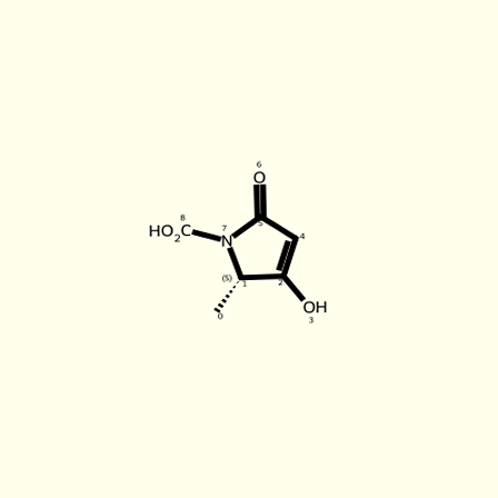 C[C@H]1C(O)=CC(=O)N1C(=O)O